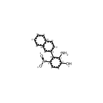 Nc1c(O)ccc([N+](=O)[O-])c1-c1ccc2ccccc2c1